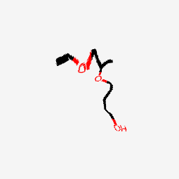 C=COCC(C)OCCCO